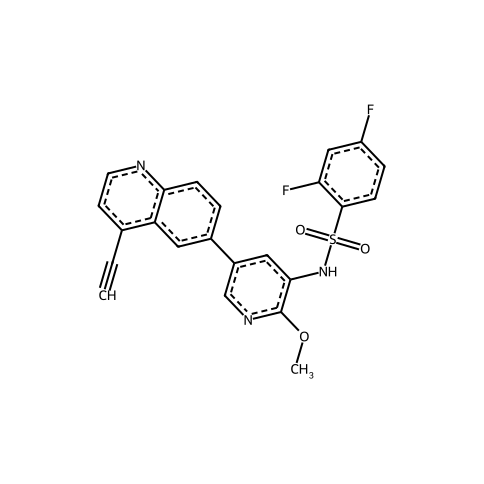 C#Cc1ccnc2ccc(-c3cnc(OC)c(NS(=O)(=O)c4ccc(F)cc4F)c3)cc12